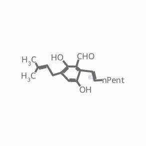 CCCCC/C=C/c1c(O)cc(CC=C(C)C)c(O)c1C=O